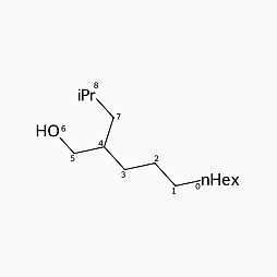 CCCCCCCCCC(CO)CC(C)C